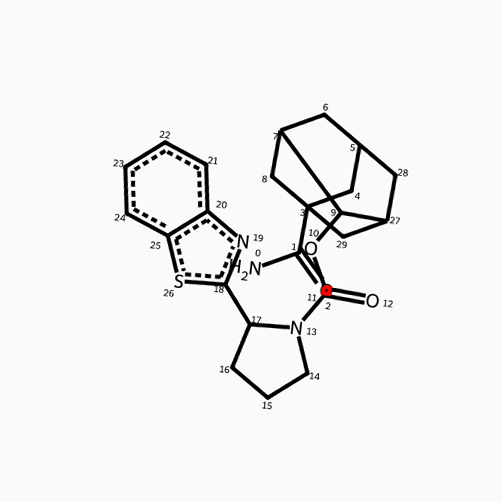 NC(=O)C12CC3CC(C1)C(OC(=O)N1CCCC1c1nc4ccccc4s1)C(C3)C2